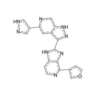 c1cc2[nH]c(-c3n[nH]c4cnc(-c5cn[nH]c5)cc34)nc2c(-c2ccoc2)n1